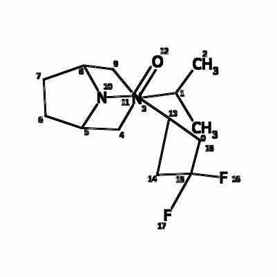 CC(C)N1CC2CCC(C1)N2C(=O)C1CC(F)(F)C1